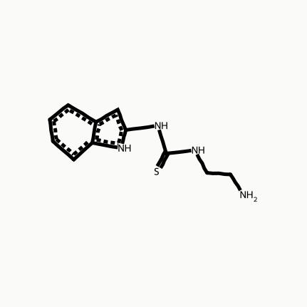 NCCNC(=S)Nc1cc2ccccc2[nH]1